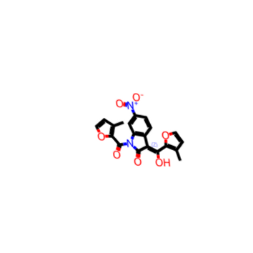 Cc1ccoc1C(=O)N1C(=O)/C(=C(\O)c2occc2C)c2ccc([N+](=O)[O-])cc21